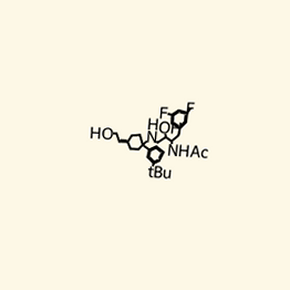 CC(=O)NC(Cc1cc(F)cc(F)c1)C(O)CNC1(c2cccc(C(C)(C)C)c2)CCC(=CCO)CC1